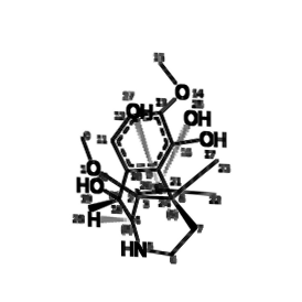 COC1=C2[C@H]3NCC[C@@]2(c2c(ccc(OC)c2O)[C@@]3(C)O)C(C)(C)[C@H](O)[C@@H]1O